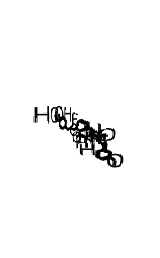 COc1cccc(CNC(=O)c2nc3ccc(F)c(OCCC4CCC(O)(CO)CC4)c3c(=O)[nH]2)c1